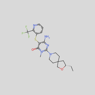 CC[C@H]1CC2(CCN(c3nc(N)c(Sc4cccnc4C(F)(F)F)c(=O)n3C)CC2)CO1